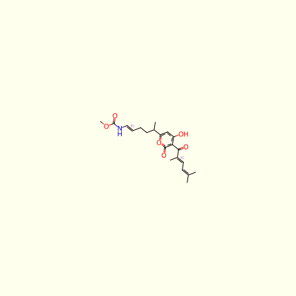 COC(=O)N/C=C/CCC(C)c1cc(O)c(C(=O)/C(C)=C/C=C(C)C)c(=O)o1